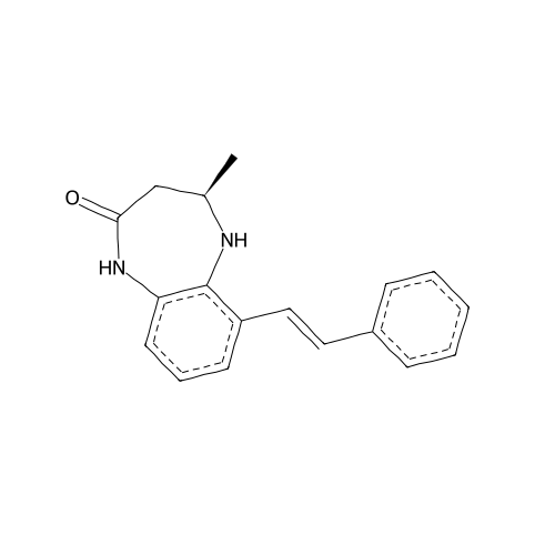 C[C@@H]1CC(=O)Nc2cccc(/C=C/c3ccccc3)c2N1